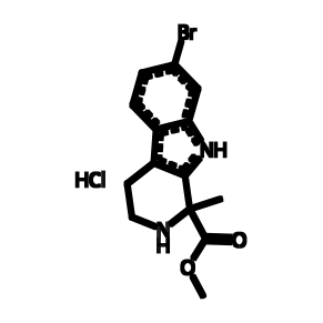 COC(=O)C1(C)NCCc2c1[nH]c1cc(Br)ccc21.Cl